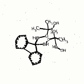 CC(C)(BO)OBC1(BOC(C)(C)BO)c2ccccc2-c2ccccc21